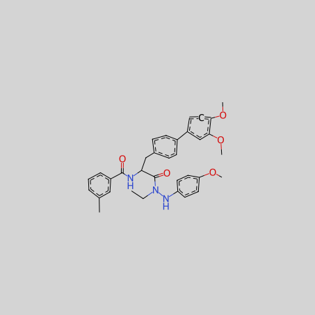 CCN(Nc1ccc(OC)cc1)C(=O)C(Cc1ccc(-c2ccc(OC)c(OC)c2)cc1)NC(=O)c1cccc(C)c1